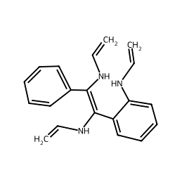 C=CNC(=C(NC=C)c1ccccc1NC=C)c1ccccc1